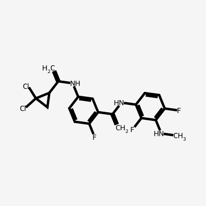 C=C(Nc1ccc(F)c(NC)c1F)c1cc(NC(=C)C2CC2(Cl)Cl)ccc1F